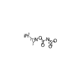 CC(C)C1C[N@@]1OC(=O)N=S(=O)=O